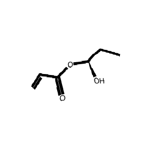 C=CC(=O)O[C@H](O)CC